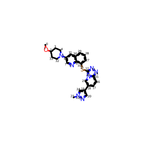 COC1CCN(c2cnc3c(Sc4nnc5ccc(-c6cnn(C)c6)cn45)cccc3c2)CC1